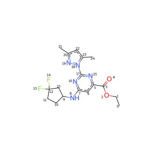 CCOC(=O)c1cc(NC2CCC(F)(F)C2)nc(-n2nc(C)cc2C)n1